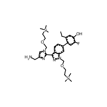 CCc1cc(O)c(F)cc1-c1ccc2c(-c3nc(CN)cn3COCC[Si](C)(C)C)nn(COCC[Si](C)(C)C)c2c1